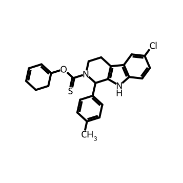 Cc1ccc(C2c3[nH]c4ccc(Cl)cc4c3CCN2C(=S)OC2=CC=CCC2)cc1